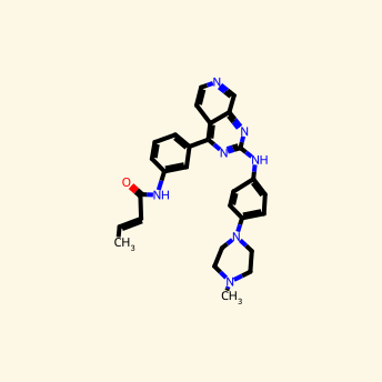 C/C=C/C(=O)Nc1cccc(-c2nc(Nc3ccc(N4CCN(C)CC4)cc3)nc3cnccc23)c1